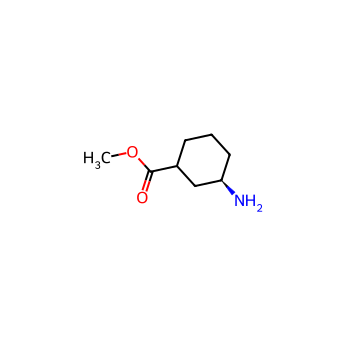 COC(=O)C1CCC[C@@H](N)C1